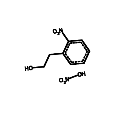 O=[N+]([O-])O.O=[N+]([O-])c1ccccc1CCO